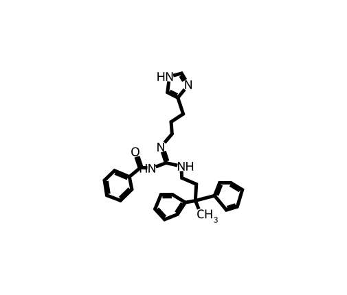 CC(CCNC(=NCCCc1c[nH]cn1)NC(=O)c1ccccc1)(c1ccccc1)c1ccccc1